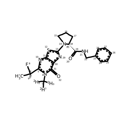 [2H]C([2H])([2H])n1c(C(C)(F)F)nc2sc(N3CCC[C@@H]3C(=O)NCc3ccccc3)nc2c1=O